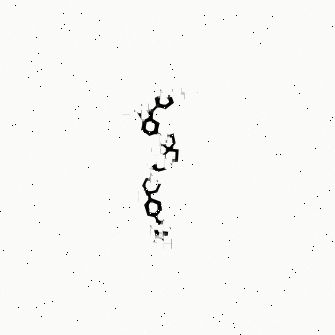 CC(C)Oc1ccc(-c2n[nH]c3ccc(N4CCC5(CCN(CC(=O)N6CCC(F)(c7ccc(-c8ncn(C)n8)cc7)CC6)C5)C4=O)cc23)cn1